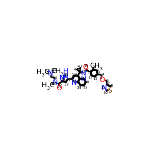 Cc1cc(COCc2cscn2)ccc1C(=O)NC1(c2cc(-c3cc(C(=O)N(C)CCN(C)C)n[nH]3)nc3ccccc23)CC1